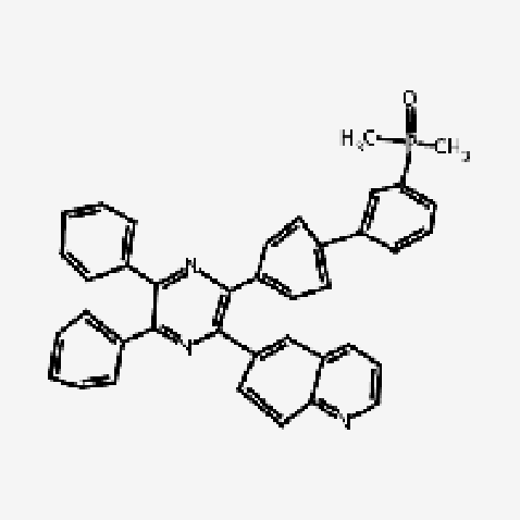 CP(C)(=O)c1cccc(-c2ccc(-c3nc(-c4ccccc4)c(-c4ccccc4)nc3-c3ccc4ncccc4c3)cc2)c1